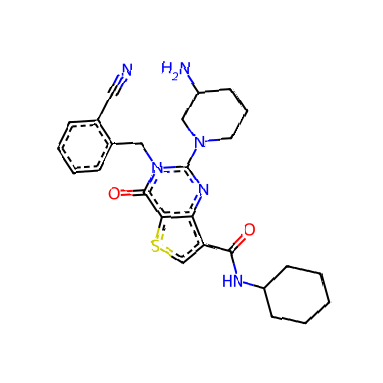 N#Cc1ccccc1Cn1c(N2CCCC(N)C2)nc2c(C(=O)NC3CCCCC3)csc2c1=O